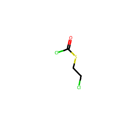 O=C(Cl)SCCCl